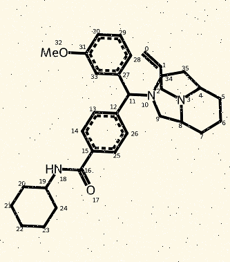 C=CCN1C2CCCC1CN(C(c1ccc(C(=O)NC3CCCCC3)cc1)c1cccc(OC)c1)CC2